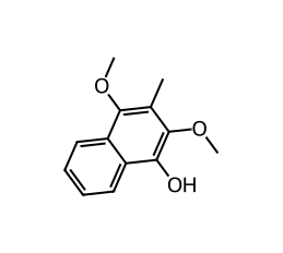 COc1c(C)c(OC)c2ccccc2c1O